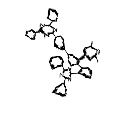 Cc1cc(-c2cc(-c3ccc(-c4nc(-c5ccccc5)nc(-c5ccccc5)n4)cc3)ccc2-c2ccccc2-c2nc(-c3ccccc3)nc(-c3ccccc3)n2)cc(C)n1